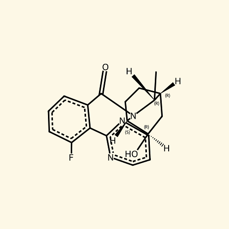 C[C@@H]1[C@@H]2CC[C@@H]([C@H](O)C2)N1C(=O)c1cccc(F)c1-c1ncccn1